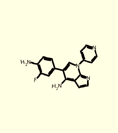 Nc1ccc(-c2cn(-c3ccncc3)c3nccc-3c2N)cc1F